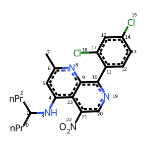 CCCC(CCC)Nc1cc(C)nc2c(-c3ccc(Cl)cc3Cl)ncc([N+](=O)[O-])c12